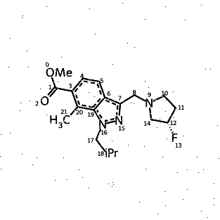 COC(=O)c1ccc2c(CN3CC[C@H](F)C3)nn(CC(C)C)c2c1C